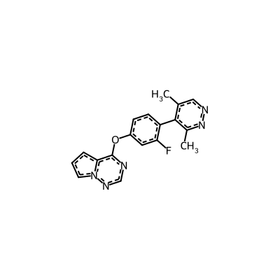 Cc1cnnc(C)c1-c1ccc(Oc2ncnn3cccc23)cc1F